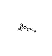 NC(=O)C1(C(=O)N(c2ccccc2)c2ccc(Oc3ccnc4cc(OCc5ccccc5)ccc34)c(F)c2)CC1